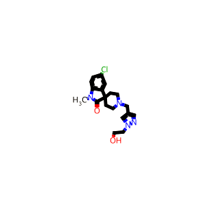 CN1C(=O)C2(CCN(Cc3cnn(CCO)c3)CC2)c2cc(Cl)ccc21